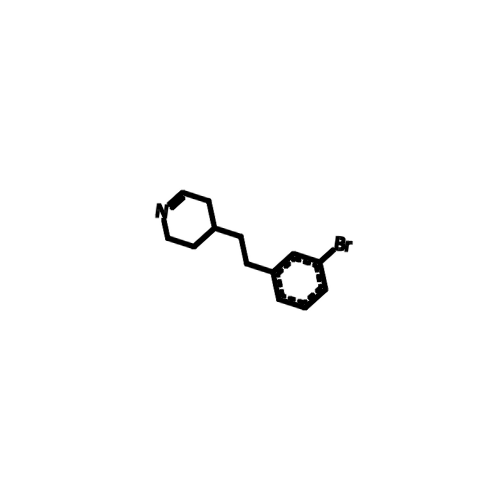 Brc1cccc(CCC2CC=NCC2)c1